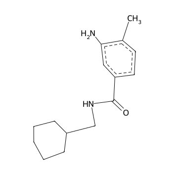 Cc1ccc(C(=O)NCC2CCCCC2)cc1N